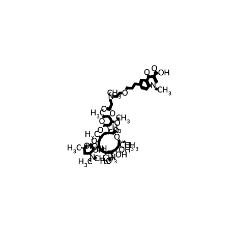 CC[C@H]1OC(=O)[C@H](C)[C@@H](O[C@H]2CC(OC)[C@@H](OC(=O)CCN(C)CCOCCCc3ccc4c(c3)c(=O)c(C(=O)O)cn4CC)[C@H](C)O2)[C@H](C)[C@@H](O[C@H]2O[C@H](C)C[C@H](N(C)C)[C@H]2O)[C@](C)(O)C[C@@H](C)/C(=N\O)[C@@H](O)[C@]1(C)O